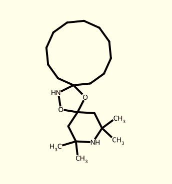 CC1(C)CC2(CC(C)(C)N1)ONC1(CCCCCCCCCCC1)O2